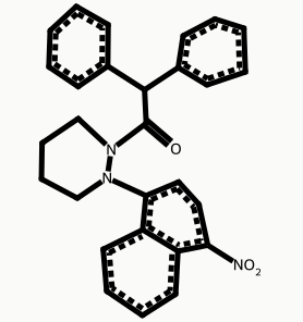 O=C(C(c1ccccc1)c1ccccc1)N1CCCCN1c1ccc([N+](=O)[O-])c2ccccc12